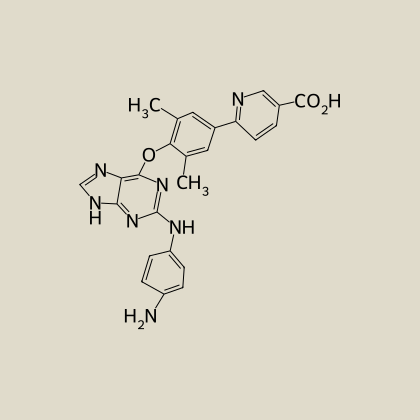 Cc1cc(-c2ccc(C(=O)O)cn2)cc(C)c1Oc1nc(Nc2ccc(N)cc2)nc2[nH]cnc12